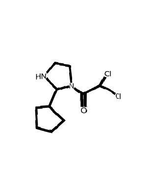 O=C(C(Cl)Cl)N1CCNC1C1CCCC1